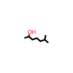 CC(C)CCCC(C)O